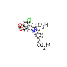 CC(C)c1nn(Sc2ccc(CCC(=O)O)cc2)c(C(=O)O)c1Cc1cc2c(cc1Cl)OCO2